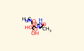 CNC(=O)COC1C(O)[C@@H](CO)O[C@H]1n1cc(C)c(=O)[nH]c1=S